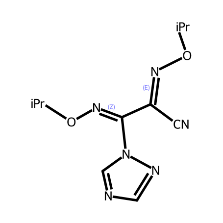 CC(C)O/N=C(/C(C#N)=N/OC(C)C)n1cncn1